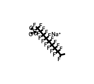 CC(F)C(F)(F)C(F)(F)C(F)(F)C(F)(F)C(F)(F)C(F)(F)C(F)(F)C(F)(F)S(=O)(=O)[O-].[Na+]